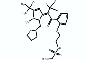 CCS(=O)(=O)NCCOc1ccccc1C(=O)/[N+](=c1/cc(C(C)(C)C)n(C)n1C[C@H]1CCCO1)C(F)(F)F